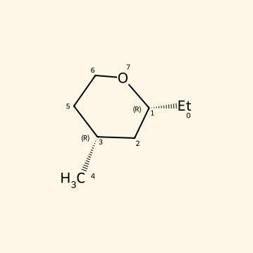 CC[C@@H]1C[C@H](C)CCO1